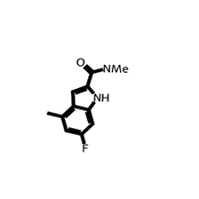 CNC(=O)c1cc2c(C)cc(F)cc2[nH]1